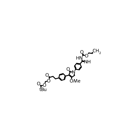 C=CCOC(=O)NC(=N)c1ccc(N2CC(OC)=C(c3ccc(CCC(=O)OCOC(=O)C(C)(C)C)cc3)C2=O)cc1